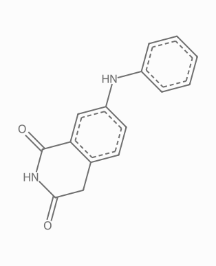 O=C1Cc2ccc(Nc3ccccc3)cc2C(=O)N1